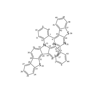 c1ccc(-c2nc(-c3ccccc3-n3c4ccccc4c4c5sc6ccccc6c5ccc43)c3c(n2)sc2ccccc23)cc1